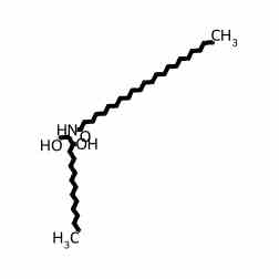 CCCCCCCCCCCCCCCCCCCCCCCC(=O)NC(CO)C(O)CCCCCCCCCCCCC